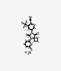 N#Cc1ncc(N2C(=O)C3(CCC3)N(c3cccc(SN)n3)C2=S)cc1C(F)(F)F